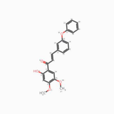 COc1cc(O)c(C(=O)/C=C/c2cccc(Oc3ccccc3)c2)cc1OC